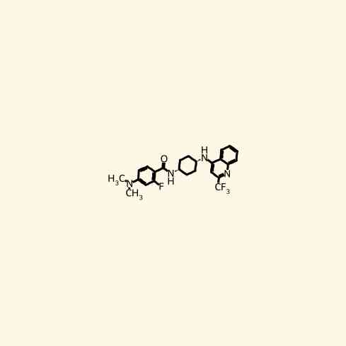 CN(C)c1ccc(C(=O)N[C@H]2CC[C@@H](Nc3cc(C(F)(F)F)nc4ccccc34)CC2)c(F)c1